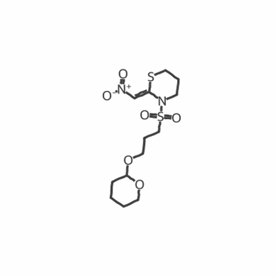 O=[N+]([O-])C=C1SCCCN1S(=O)(=O)CCCOC1CCCCO1